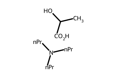 CC(O)C(=O)O.CCCN(CCC)CCC